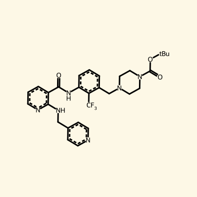 CC(C)(C)OC(=O)N1CCN(Cc2cccc(NC(=O)c3cccnc3NCc3ccncc3)c2C(F)(F)F)CC1